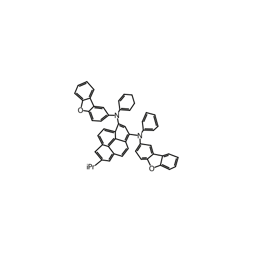 CC(C)c1cc2ccc3c(N(C4=CCCC=C4)c4ccc5oc6ccccc6c5c4)cc(N(c4ccccc4)c4ccc5oc6ccccc6c5c4)c4ccc(c1)c2c34